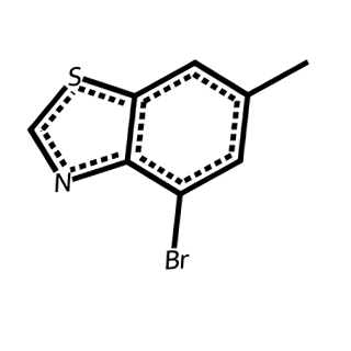 Cc1cc(Br)c2ncsc2c1